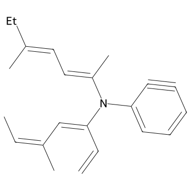 C=C/C(=C\C(C)=C/C)N(/C(C)=C/C=C(\C)CC)c1c#cccc1